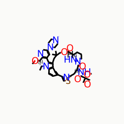 CCn1c(-c2cc(N3CCN(C)CC3)cnc2[C@H](C)OC)c2c3cc(ccc31)-c1csc(n1)C[C@H](NC(=O)C1(OC)COC1)C(=O)N1CCC[C@H](N1)C(=O)OCC(C)(C)C2